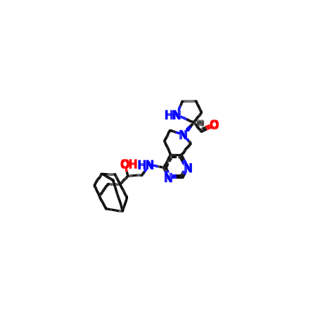 O=C[C@@]1(N2CCc3c(ncnc3NCC(O)C34CC5CC(CC(C5)C3)C4)C2)CCCN1